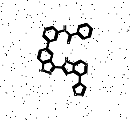 O=C(Nc1cncc(-c2ccc3[nH]nc(-c4cc5c(-c6ccoc6)cncc5[nH]4)c3c2)c1)c1ccccc1